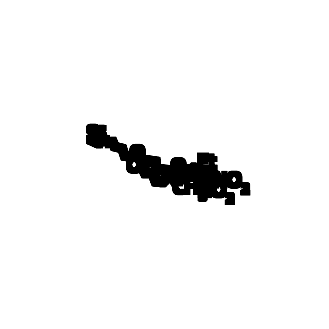 CCC(COC(=O)[C@@H](C)c1ccc2cc(OC(=O)CCCC[C@@H]3CCSS3)ccc2c1)(CO[N+](=O)[O-])CO[N+](=O)[O-]